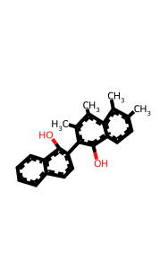 Cc1ccc2c(O)c(-c3ccc4ccccc4c3O)c(C)c(C)c2c1C